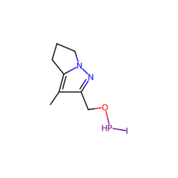 Cc1c(COPI)nn2c1CCC2